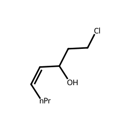 CCC/C=C\C(O)CCCl